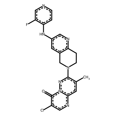 Cc1cc2ncc(Cl)c(=O)n2nc1N1CCc2ncc(Nc3ccncc3F)cc2C1